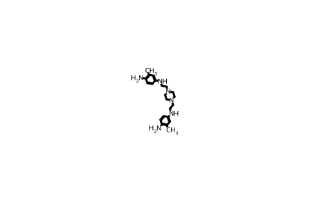 Cc1cc(NCCN2CCN(CCNc3ccc(N)c(C)c3)CC2)ccc1N